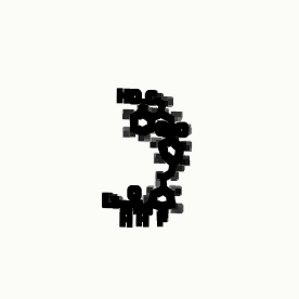 CCNC(=O)[AsH]c1cc(CCc2ccc(S(=O)(=O)CC(CC(=O)O)c3ccccc3)cc2)ccc1F